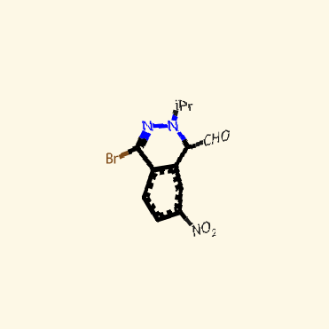 CC(C)N1N=C(Br)c2ccc([N+](=O)[O-])cc2C1C=O